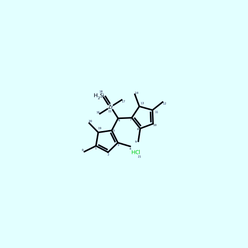 CC1=CC(C)=C([CH](C2=C(C)C=C(C)C2C)[Zr]([CH3])([CH3])=[SiH2])C1C.Cl